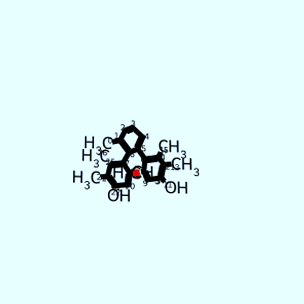 Cc1cccc(-c2c(C)cc(O)c(C)c2C)c1-c1c(C)cc(O)c(C)c1C